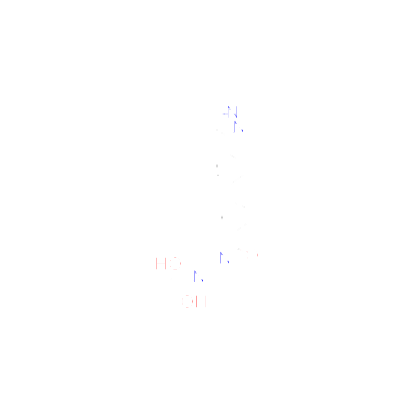 Cn1nccc1-c1ccc(-c2ccc(C(=O)N3CCN(C(O)C4(O)CC4)CC3)cc2)cc1